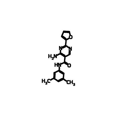 Cc1cc(C)cc(NC(=O)c2cnc(-c3ccco3)nc2N)c1